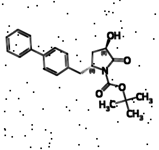 CC(C)(C)OC(=O)N1C(=O)[C@H](O)C[C@H]1Cc1ccc(-c2ccccc2)cc1